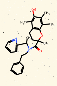 Cc1c(C)c2c(c(C)c1O)CCC(C)(C(=O)N(CCc1ccccc1)C(C)c1ccccn1)O2